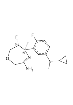 CN(c1ccc(F)c([C@@]2(C)N=C(N)COC[C@@H]2F)c1)C1CC1